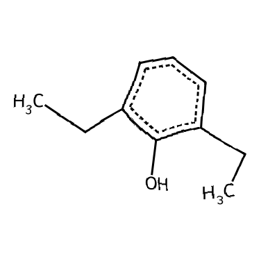 CCc1cccc(CC)c1O